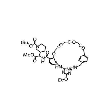 CCOc1nc2nc(n1)Nc1ccc(C(=O)NC(C(=O)OC)C3CCCN(C(=O)OC(C)(C)C)C3)c(c1)OCCOCCOCCOc1ccc(cc1)CN2